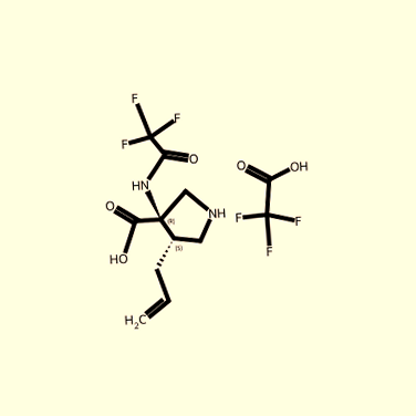 C=CC[C@H]1CNC[C@@]1(NC(=O)C(F)(F)F)C(=O)O.O=C(O)C(F)(F)F